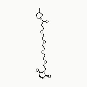 C[C@@H]1CCN(C(=O)CCOCCOCCOCCOCCN2C(=O)C=CC2=O)C1